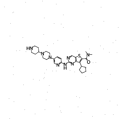 CN(C)C(=O)c1sc2cnc(Nc3ccc(N4CCN(C5CCNCC5)CC4)cn3)nc2c1C1CCCC1